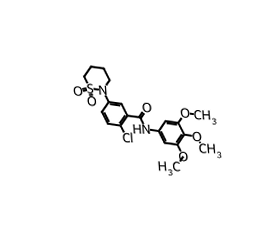 COc1cc(NC(=O)c2cc(N3CCCCS3(=O)=O)ccc2Cl)cc(OC)c1OC